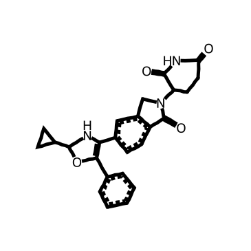 O=C1CCC(N2Cc3cc(C4=C(c5ccccc5)OC(C5CC5)N4)ccc3C2=O)C(=O)N1